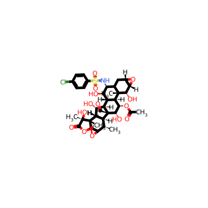 CC(=O)O[C@H]1[C@H]2[C@@H]([C@@H](O)[C@H](NS(=O)(=O)c3ccc(Cl)cc3)C3C[C@@H]4O[C@@H]4[C@H](O)[C@@]32C)[C@@H]2[C@@H](O)[C@@H]3[C@H]([C@H](C)[C@H]4O[C@]45OC(=O)[C@@](C)(O)[C@]35C)[C@@]2(C(C)=O)[C@H]1O